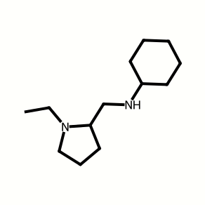 CCN1CCCC1CNC1CCCCC1